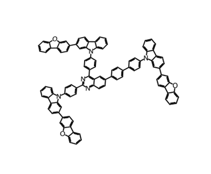 c1ccc2c(c1)oc1cc(-c3ccc4c5ccccc5n(-c5ccc(-c6ccc(-c7ccc8nc(-c9ccc(-n%10c%11ccccc%11c%11ccc(-c%12ccc%13c(c%12)oc%12ccccc%12%13)cc%11%10)cc9)nc(-c9ccc(-n%10c%11ccccc%11c%11ccc(-c%12ccc%13c(c%12)oc%12ccccc%12%13)cc%11%10)cc9)c8c7)cc6)cc5)c4c3)ccc12